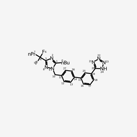 CCCCc1nc(C(F)(F)CCC)nn1Cc1ccc(-c2cccc(-c3nnn[nH]3)c2)cc1